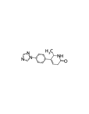 CC1NC(=O)CC=C1c1ccc(-n2cncn2)cc1